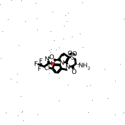 N[C@H]1CS(=O)(=O)c2ccc(-c3nc(CC(F)(F)F)no3)nc2N(Cc2ccc(Cl)cc2)C1=O